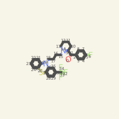 O=C(c1ccc(F)cc1)C1CCCCN1CCCCN1c2ccccc2Sc2ccc(C(F)(F)F)cc21